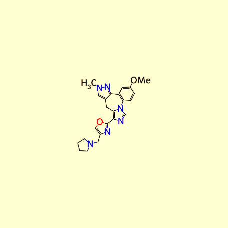 COc1ccc2c(c1)-c1nn(C)cc1Cc1c(-c3nc(CN4CCCC4)co3)ncn1-2